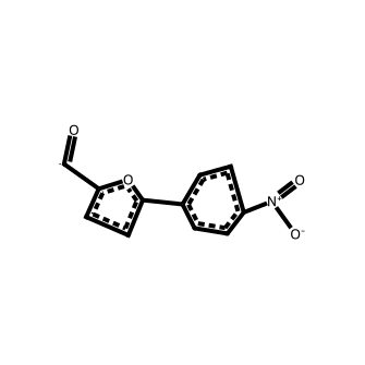 O=[C]c1ccc(-c2ccc([N+](=O)[O-])cc2)o1